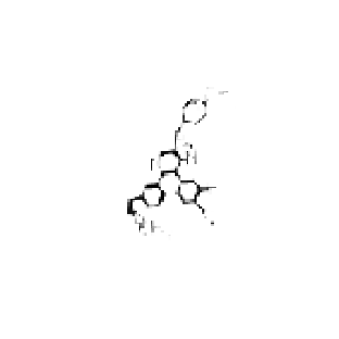 CN1CCC(Cn2cnc3c(-c4ccc(C#N)c(F)c4)c(-c4ccc5c(ccn5C)c4)ncc32)CC1